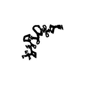 N#CC1CN(S(=O)(=O)N2CCCC(C(=O)N3CCC[C@@H]3C(=O)NC3CCC3C(F)(F)F)C2)C1